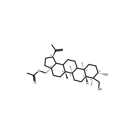 C=C(C)[C@@H]1CC[C@]2(COC(C)=O)CC[C@]3(C)C(CCC4[C@@]5(C)CC[C@H](O)[C@@](C)(CO)[C@@H]5CC[C@]43C)C12